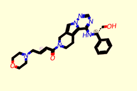 O=C(/C=C/CN1CCOCC1)N1CCc2c(cn3ncnc(N[C@H](CO)c4ccccc4)c23)C1